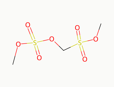 COS(=O)(=O)COS(=O)(=O)OC